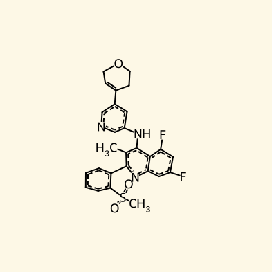 Cc1c(-c2ccccc2S(C)(=O)=O)nc2cc(F)cc(F)c2c1Nc1cncc(C2=CCOCC2)c1